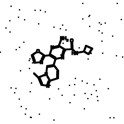 Cc1cnc2ccc(-c3nc(C(=O)NC4CCC4)c(N)nc3-c3ncco3)cn12